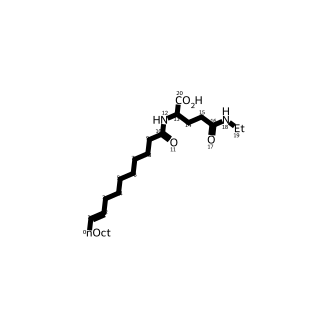 CCCCCCCCC=CCCCCCCCC(=O)NC(CCC(=O)NCC)C(=O)O